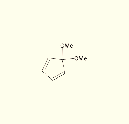 COC1(OC)C=CC=C1